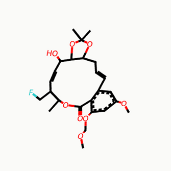 COCOc1cc(OC)cc2c1C(=O)OC(C)C(CF)/C=C\C(O)C1OC(C)(C)OC1C/C=C/2